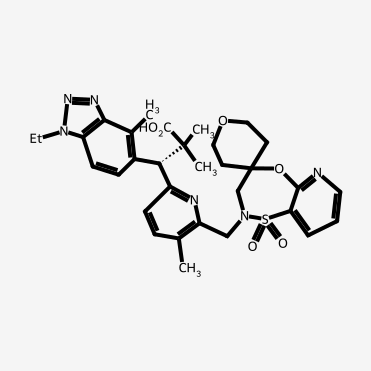 CCn1nnc2c(C)c([C@@H](c3ccc(C)c(CN4CC5(CCOCC5)Oc5ncccc5S4(=O)=O)n3)C(C)(C)C(=O)O)ccc21